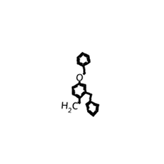 C=Cc1ccc(OCc2ccccc2)cc1Cc1ccccc1